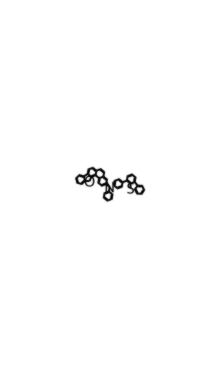 c1ccc(N(c2ccc(-c3cccc4c3sc3ccccc34)cc2)c2ccc3c(ccc4ccc5c6ccccc6oc5c43)c2)cc1